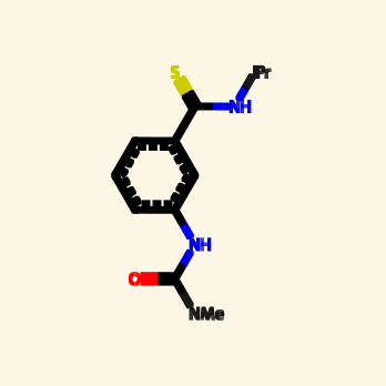 CNC(=O)Nc1cccc(C(=S)NC(C)C)c1